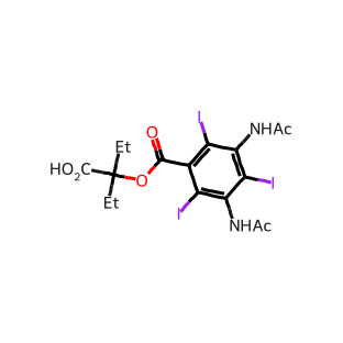 CCC(CC)(OC(=O)c1c(I)c(NC(C)=O)c(I)c(NC(C)=O)c1I)C(=O)O